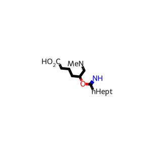 CCCCCCCC(=N)OC(CCCC(=O)O)CNC